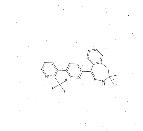 CC1(C)Cc2ccccc2C(c2ccc(-c3cccnc3C(F)(F)F)cc2)=NN1